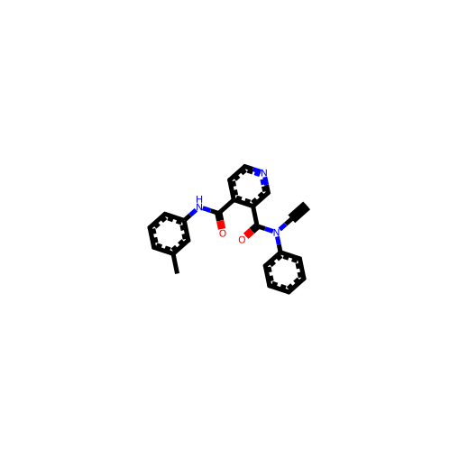 C#CN(C(=O)c1cnccc1C(=O)Nc1cccc(C)c1)c1ccccc1